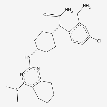 CN(C)c1nc(N[C@H]2CC[C@@H](N(C(N)=O)c3ccc(Cl)cc3CN)CC2)nc2c1CCCC2